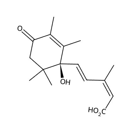 CC1=C(C)[C@](O)(/C=C/C(C)=C\C(=O)O)C(C)(C)CC1=O